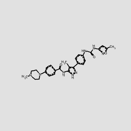 Cc1cc(NC(=O)Nc2ccc(-c3n[nH]c(NC(=O)c4ccc(N5CCN(C)CC5)cc4)c3C)cc2)no1